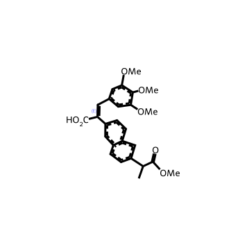 COC(=O)C(C)c1ccc2cc(/C(=C\c3cc(OC)c(OC)c(OC)c3)C(=O)O)ccc2c1